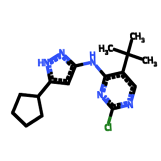 CC(C)(C)c1cnc(Cl)nc1Nc1cc(C2CCCC2)[nH]n1